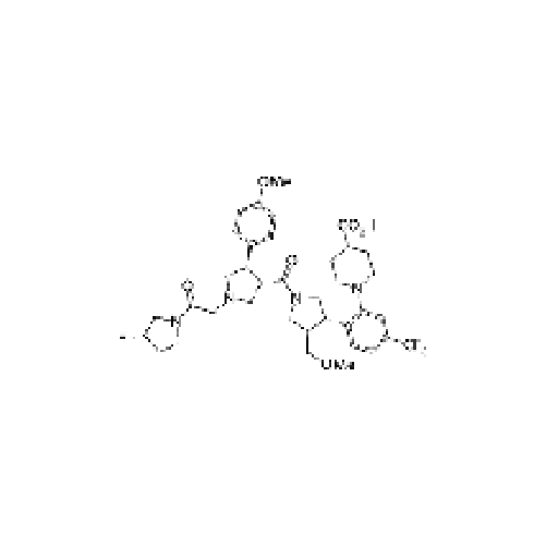 COC[C@H]1CN(C(=O)[C@@H]2CN(CC(=O)N3CC[C@H](F)C3)C[C@H]2c2ccc(OC)cc2)C[C@@H]1c1ccc(C(F)(F)F)cc1N1CCC(C(=O)O)CC1